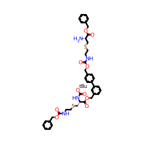 CC(C)(C)OC(=O)N[C@@H](CSCCNC(=O)OCc1ccccc1)C(=O)OCc1cccc(-c2ccc(COC(=O)NCCSC[C@H](N)C(=O)OCc3ccccc3)cc2)c1